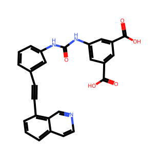 O=C(Nc1cccc(C#Cc2cccc3ccncc23)c1)Nc1cc(C(=O)O)cc(C(=O)O)c1